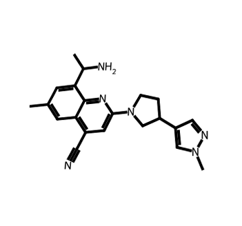 Cc1cc(C(C)N)c2nc(N3CCC(c4cnn(C)c4)C3)cc(C#N)c2c1